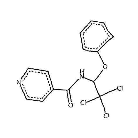 O=C(NC(Oc1ccccc1)C(Cl)(Cl)Cl)c1ccncc1